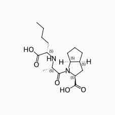 CCCC[C@H](N[C@@H](C)C(=O)N1[C@H](C(=O)O)C[C@@H]2CCC[C@@H]21)C(=O)O